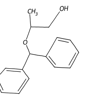 CC(CO)OC(c1ccccc1)c1ccccc1